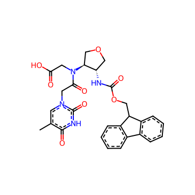 Cc1cn(CC(=O)N(CC(=O)O)[C@H]2COC[C@@H]2NC(=O)OCC2c3ccccc3-c3ccccc32)c(=O)[nH]c1=O